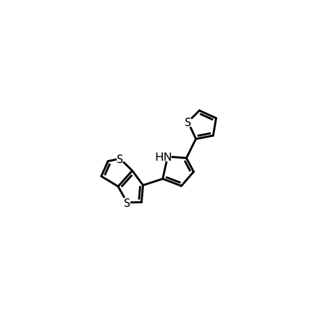 c1csc(-c2ccc(-c3csc4ccsc34)[nH]2)c1